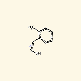 Cc1[c]cccc1/C=N\O